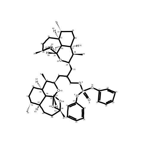 C[C@H]1[C@@H](CC(COP(=O)(Oc2ccccc2)Oc2ccccc2)C[C@H]2O[C@@H]3O[C@@]4(C)CC[C@H]5[C@H](C)CC[C@@H]([C@H]2C)[C@@]35OO4)O[C@@H]2O[C@@]3(C)CC[C@H]4[C@H](C)CC[C@@H]1[C@@]24OO3